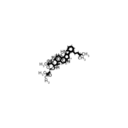 CC(C)=CCc1cccc2[nH]c3c(c12)C[C@@H]1CC[C@@]2(O)[C@@]45C[C@@H]4[C@@H]4O[C@H](C6OC6(C)C)OC(C)(C)[C@H]4O[C@H]5CC[C@]2(C)[C@@]31C